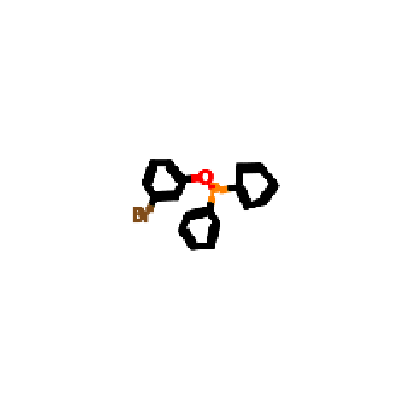 Brc1cccc(OP(c2ccccc2)c2ccccc2)c1